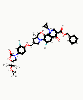 CC(C)(C)[SiH2]OC(C)(C)[C@H]1CN(c2ccc(OC[C@H]3C[C@H]4COc5c(c(F)cc6c(=O)c(C(=O)OCc7ccccc7)cn(C7CC7)c56)N4C3)c(F)c2)C(=O)O1